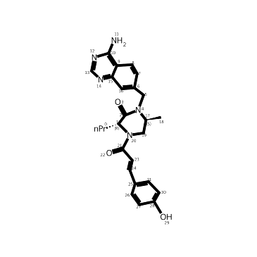 CCC[C@@H]1C(=O)N(Cc2ccc3c(N)ncnc3c2)[C@@H](C)CN1C(=O)C=Cc1ccc(O)cc1